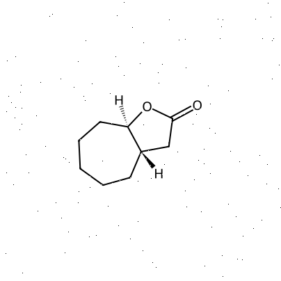 O=C1C[C@@H]2CCCCC[C@H]2O1